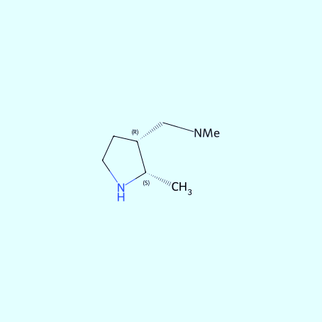 CNC[C@H]1CCN[C@H]1C